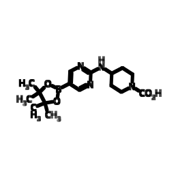 CC1(C)OB(c2cnc(NC3CCN(C(=O)O)CC3)nc2)OC1(C)C